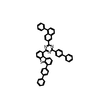 c1ccc(-c2ccc(-c3nc(-c4ccc5c(-c6ccccc6)cccc5c4)nc(-c4cccc5sc6c(-c7ccc(-c8ccccc8)cc7)cccc6c45)n3)cc2)cc1